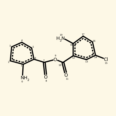 Nc1ccccc1C(=O)OC(=O)c1cc(Cl)ccc1N